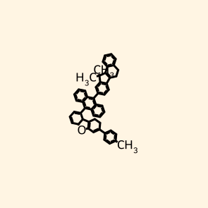 Cc1ccc(C2=CC3=C(CC2)C2C(c4c5ccccc5c(-c5ccc6c(c5)C(C)(C)C5=C6CCc6ccccc65)c5ccccc45)=CC=CC2O3)cc1